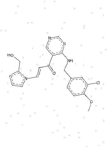 COc1ccc(CNc2ncncc2C(=O)C=Cn2cccc2CO)cc1Cl